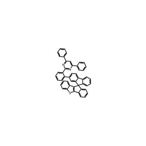 c1ccc(-c2cc(-c3ccccc3)nc(-c3ccccc3-c3ccc4c(c3)C3(c5ccccc5-4)c4ccccc4-c4sc5ccccc5c43)n2)cc1